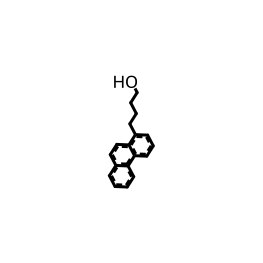 OCCCCc1cccc2c1ccc1ccccc12